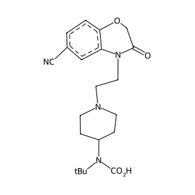 CC(C)(C)N(C(=O)O)C1CCN(CCN2C(=O)COc3ccc(C#N)cc32)CC1